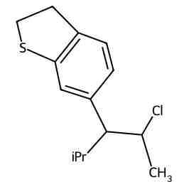 CC(C)C(c1ccc2c(c1)SCC2)C(C)Cl